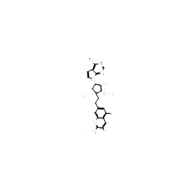 Nc1nc2cc(CC[C@@]3(O)C[C@@H](n4ccc5c(N)ncnc54)[C@H](O)[C@@H]3O)cc(F)c2cc1Cl